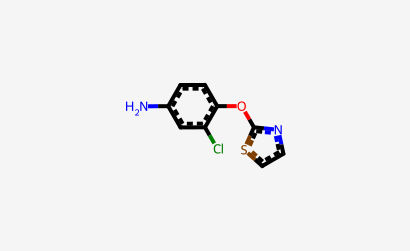 Nc1ccc(Oc2nccs2)c(Cl)c1